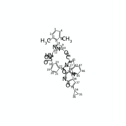 Cc1cccc(C)c1-c1cc2nc(n1)NS(=O)(=O)c1cccc(c1)C(=O)N(Cc1cnc3oc(C4CC4)cc3n1)[C@H](Cc1ccccc1)CO2